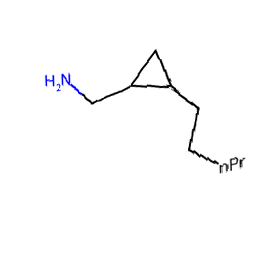 CCCCCC1CC1CN